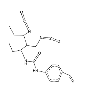 C=Cc1ccc(NC(=O)NC(CC)C(CN=C=O)C(CC)N=C=O)cc1